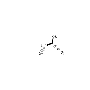 CCC.[Cl-].[Cl-].[Cl-].[Cl-].[Zr+4]